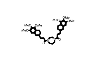 COc1cc2c(c(OC)c1OC)CCC(/C=C/C(=O)N1CCCN(C(=O)/C=C/C3=Cc4cc(OC)c(OC)c(OC)c4CC3)CC1)=C2